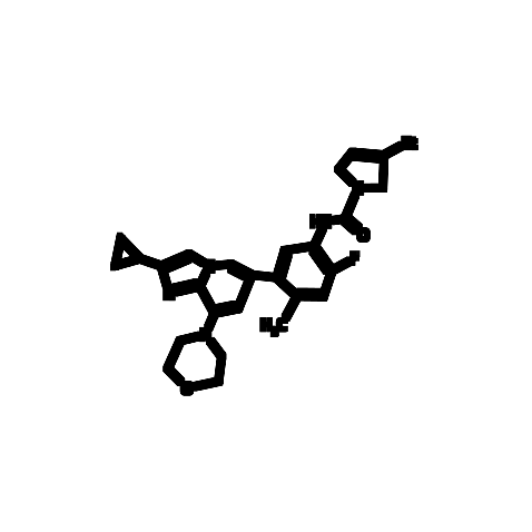 CCC1=CCN(C(=O)Nc2cc(-c3cc(N4CCOCC4)c4nc(C5CC5)cn4c3)c(C)cc2F)C1